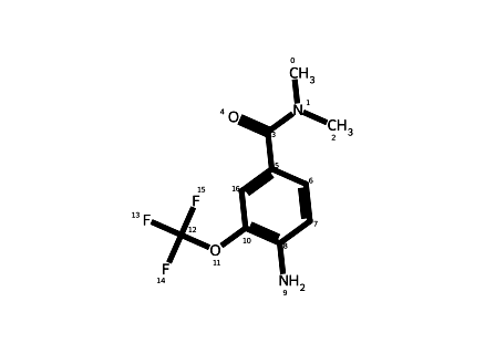 CN(C)C(=O)c1ccc(N)c(OC(F)(F)F)c1